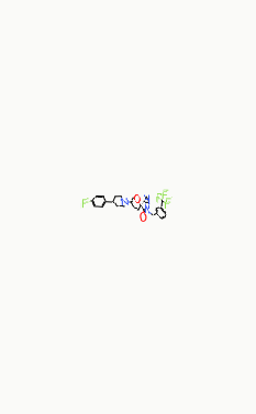 O=C(NCc1cccc(C(F)(F)F)c1)[C@@]1(C2CC2)CCC(N2CCC(c3ccc(F)cc3)CC2)CO1